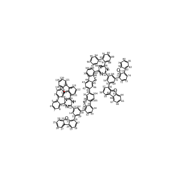 c1ccc(-c2ccccc2-c2nc(-c3cc(-c4cccc5c4oc4ccccc45)cc(-c4cccc5c4sc4cc(-c6ccc7c(c6)sc6c(-c8nc(-c9cc(-c%10cccc%11c%10oc%10ccccc%10%11)cc(-c%10cccc%11c%10oc%10ccccc%10%11)c9)nc(-c9ccccc9-c9ccccc9)n8)cccc67)ccc45)c3)nc(-c3cccc4c3sc3ccccc34)n2)cc1